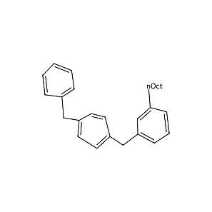 CCCCCCCCc1cccc(Cc2ccc(Cc3ccccc3)cc2)c1